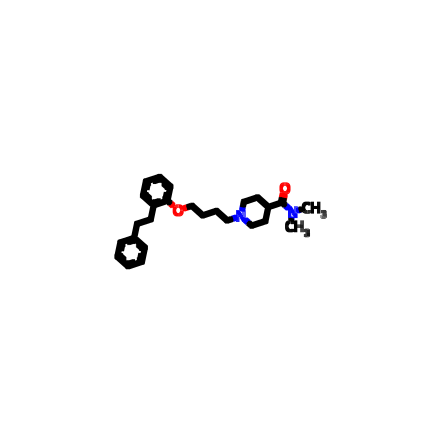 CN(C)C(=O)C1CCN(CCCCOc2ccccc2CCc2ccccc2)CC1